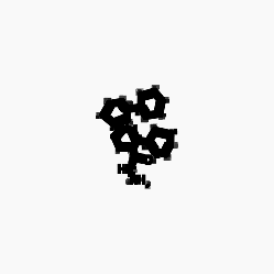 NNC(=O)c1ccccc1-c1ccccc1.c1ccc(-c2ccccc2)cc1